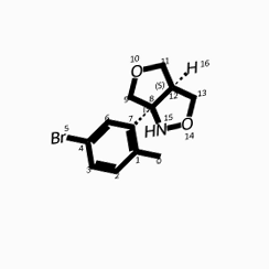 Cc1ccc(Br)cc1[C@]12COC[C@H]1CON2